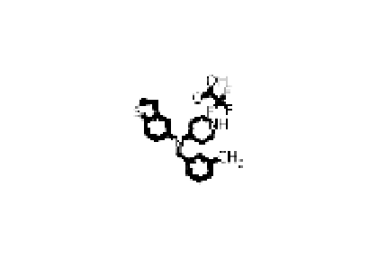 Cc1cccc(CN(c2ccc3sccc3c2)C2CCNCC2)c1.O=C(O)C(F)(F)F